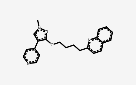 Cn1cc(-c2ccncc2)c(OCCCCc2ccc3ccccc3n2)n1